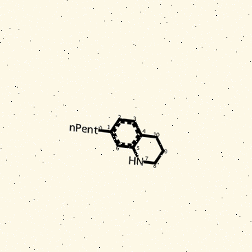 CCCCCc1ccc2c(c1)N[CH]CC2